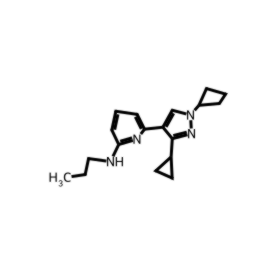 CCCNc1cccc(-c2cn(C3CCC3)nc2C2CC2)n1